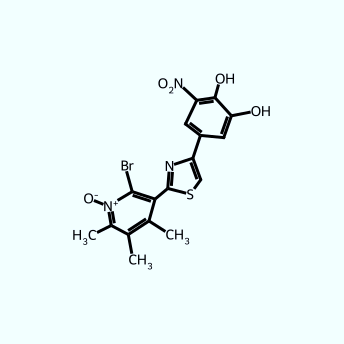 Cc1c(C)c(C)[n+]([O-])c(Br)c1-c1nc(-c2cc(O)c(O)c([N+](=O)[O-])c2)cs1